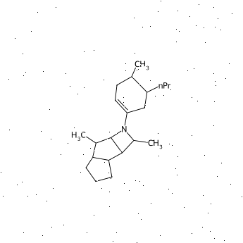 CCCC1CC(N2C(C)C3C4CCCC4C(C)C32)=CCC1C